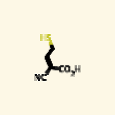 N#CC(=CCS)C(=O)O